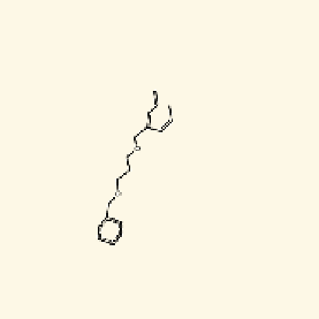 C=C/C=C(\C=C/C)COCCCOCc1ccccc1